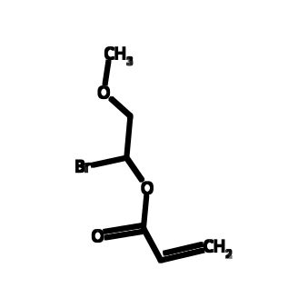 C=CC(=O)OC(Br)COC